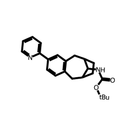 CC(C)(C)OC(=O)NC1C2CCC1Cc1cc(-c3ccccn3)ccc1C2